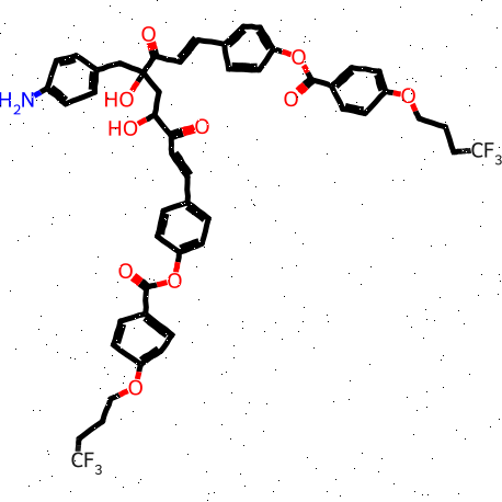 Nc1ccc(CC(O)(CC(O)C(=O)/C=C/c2ccc(OC(=O)c3ccc(OCCCC(F)(F)F)cc3)cc2)C(=O)/C=C/c2ccc(OC(=O)c3ccc(OCCCC(F)(F)F)cc3)cc2)cc1